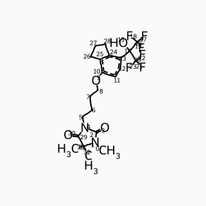 CN1C(=O)N(CCCCOc2ccc(C(O)(C(F)(F)F)C(F)(F)F)c3c2CCC3)C(=O)C1(C)C